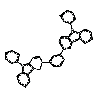 C1=CC(c2cccc(-c3ccc4c(c3)c3ccccc3n4-c3ccccc3)c2)Cc2c1n(-c1ccccc1)c1ccccc21